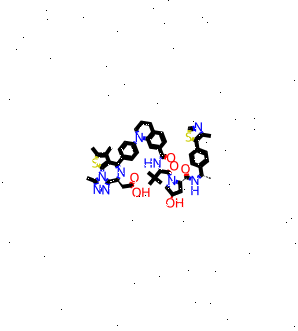 Cc1ncsc1-c1ccc([C@H](C)NC(=O)[C@@H]2C[C@@H](O)CN2C(=O)[C@@H](NC(=O)c2ccc3c(c2)N(c2ccc(C4=N[C@@H](CC(=O)O)c5nnc(C)n5-c5sc(C)c(C)c54)cc2)CCC3)C(C)(C)C)cc1